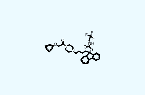 O=C(NCC(F)(F)F)OC1(CCCCN2CCN(C(=O)COc3ccccc3)CC2)c2ccccc2-c2ccccc21